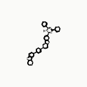 c1ccc(C2=NC(c3ccccc3)NC(c3ccc4c(c3)sc3ccc(-c5ccc(-c6ccc7sc8ccccc8c7c6)cc5)cc34)=N2)cc1